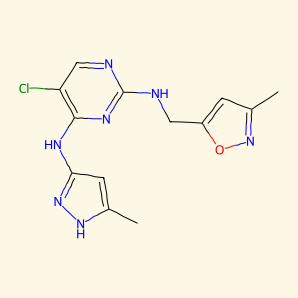 Cc1cc(CNc2ncc(Cl)c(Nc3cc(C)[nH]n3)n2)on1